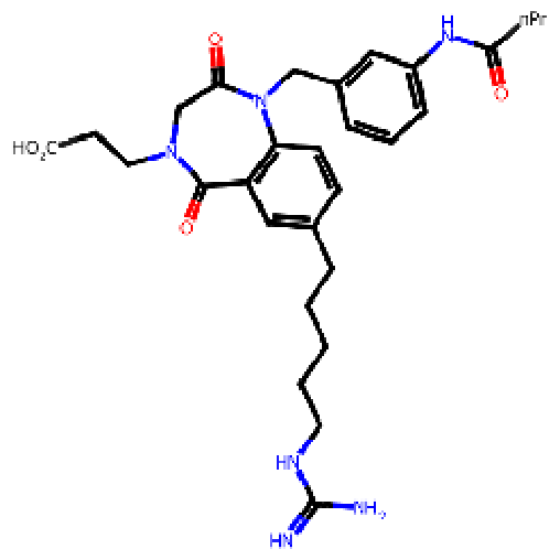 CCCC(=O)Nc1cccc(CN2C(=O)CN(CCC(=O)O)C(=O)c3cc(CCCCCNC(=N)N)ccc32)c1